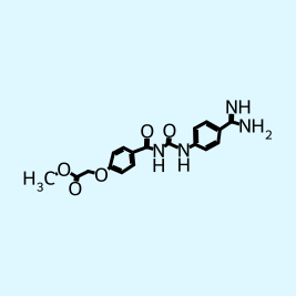 COC(=O)COc1ccc(C(=O)NC(=O)Nc2ccc(C(=N)N)cc2)cc1